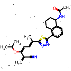 C=C(C#N)/C(=C\C=C(/C)c1nnc(-c2cccc3c2CCC[C@H]3NC(C)=O)s1)OC(C)C